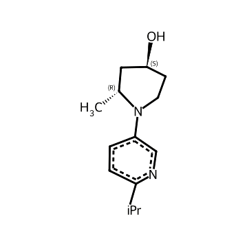 CC(C)c1ccc(N2CC[C@H](O)C[C@H]2C)cn1